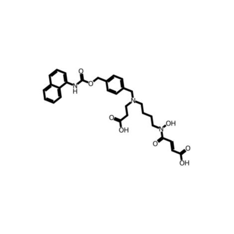 O=C(O)/C=C/C(=O)N(O)CCCCN(CCC(=O)O)Cc1ccc(COC(=O)Nc2cccc3ccccc23)cc1